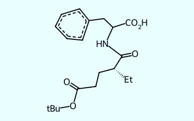 CC[C@H](CCC(=O)OC(C)(C)C)C(=O)NC(Cc1ccccc1)C(=O)O